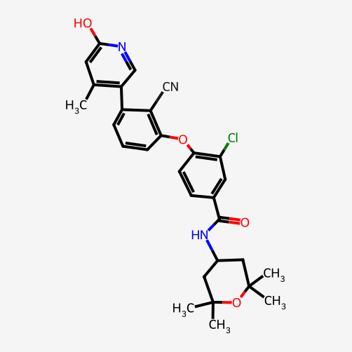 Cc1cc(O)ncc1-c1cccc(Oc2ccc(C(=O)NC3CC(C)(C)OC(C)(C)C3)cc2Cl)c1C#N